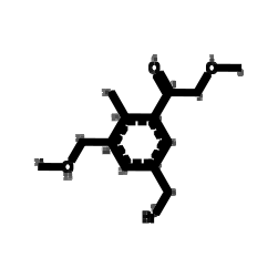 COCC(=O)c1cc(CBr)cc(COC)c1C